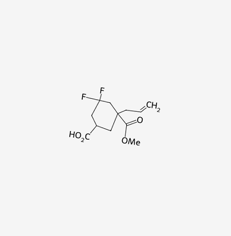 C=CCC1(C(=O)OC)CC(C(=O)O)CC(F)(F)C1